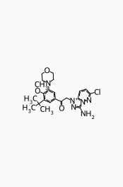 COc1c(N2CCOCC2)cc(C(=O)C[n+]2nc(N)n3nc(Cl)ccc32)cc1C(C)(C)C